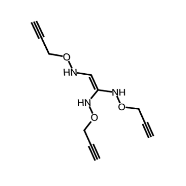 C#CCONC=C(NOCC#C)NOCC#C